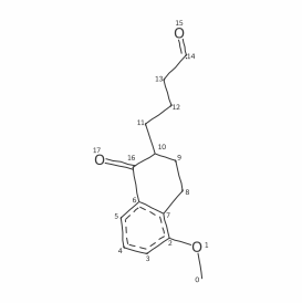 COc1cccc2c1CCC(CCC[C]=O)C2=O